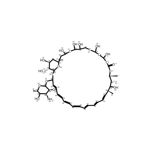 C[C@@H]1OC(=O)CC(O)CC(O)CCC(O)C(O)CC(O)CC2(O)C[C@H](O)[C@@H](C(=O)O)[C@H](CC(OC3O[C@H](C)C(O)[C@H](N)[C@@H]3O)/C=C/C=C/C=C/C=C/C=C/C=C/C=C/[C@H](C)C(O)[C@H]1C)O2